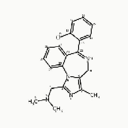 Cc1nc(CN(C)C)n2c1CN=C(c1ccccc1Cl)c1ccccc1-2